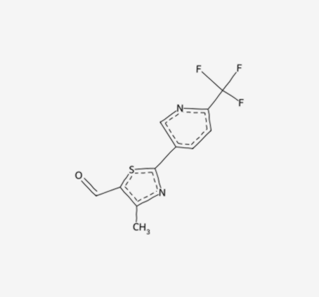 Cc1nc(-c2ccc(C(F)(F)F)nc2)sc1C=O